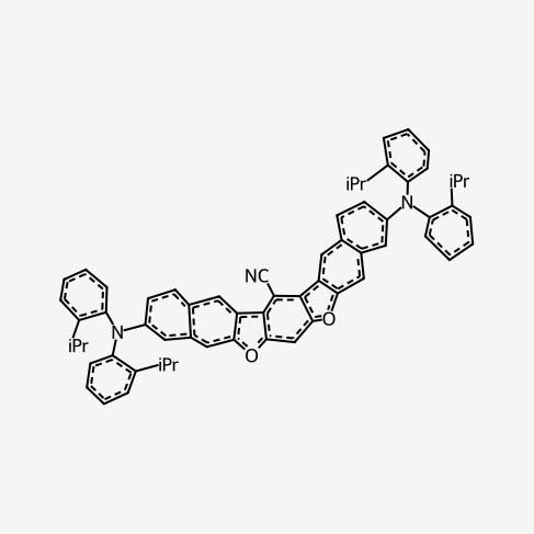 CC(C)c1ccccc1N(c1ccc2cc3c(cc2c1)oc1cc2oc4cc5cc(N(c6ccccc6C(C)C)c6ccccc6C(C)C)ccc5cc4c2c(C#N)c13)c1ccccc1C(C)C